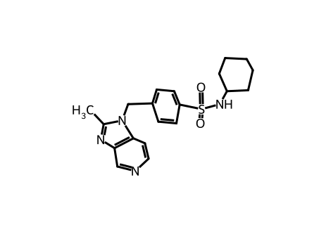 Cc1nc2cnccc2n1Cc1ccc(S(=O)(=O)NC2CCCCC2)cc1